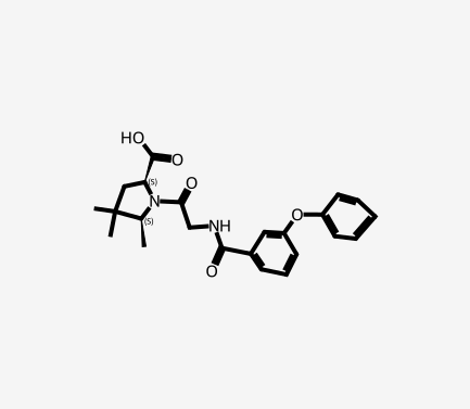 C[C@@H]1N(C(=O)CNC(=O)c2cccc(Oc3ccccc3)c2)[C@H](C(=O)O)CC1(C)C